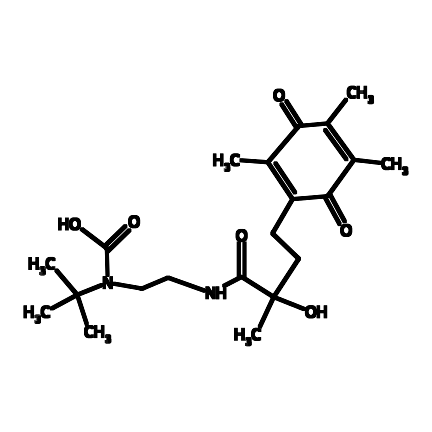 CC1=C(C)C(=O)C(CCC(C)(O)C(=O)NCCN(C(=O)O)C(C)(C)C)=C(C)C1=O